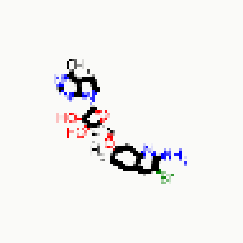 Cc1ncnc2c1ccn2[C@@H]1O[C@H](COc2ccc3cc(Br)c(N)nc3c2)[C@@](C)(O)[C@H]1O